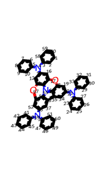 c1ccc(N(c2ccccc2)c2cc3c4c(c2)Oc2cc(N(c5ccccc5)c5ccccc5)cc5c6cc(N(c7ccccc7)c7ccccc7)cc(c6n-4c25)O3)cc#1